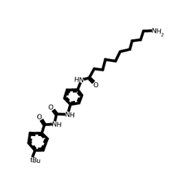 CC(C)(C)c1ccc(C(=O)NC(=O)Nc2ccc(NC(=O)CCCCCCCCCN)cc2)cc1